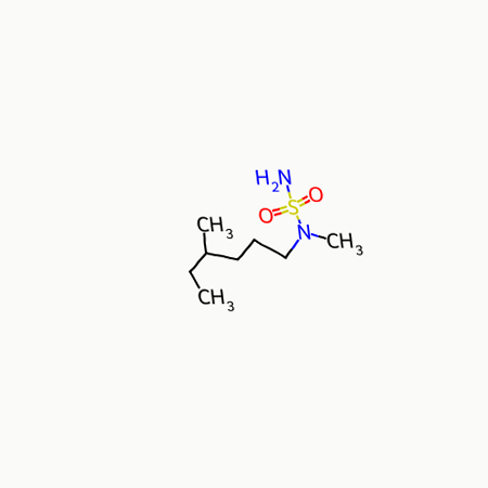 CCC(C)CCCN(C)S(N)(=O)=O